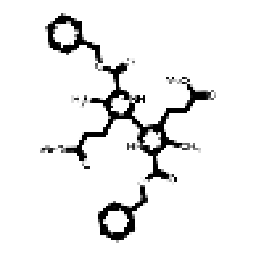 COC(=O)CCc1c(-c2[nH]c(C(=O)OCc3ccccc3)c(C)c2CCC(=O)OC)[nH]c(C(=O)OCc2ccccc2)c1C